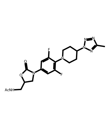 CC(=O)NCC1CN(c2cc(F)c(N3CCC(n4nnc(C)n4)CC3)c(F)c2)C(=O)O1